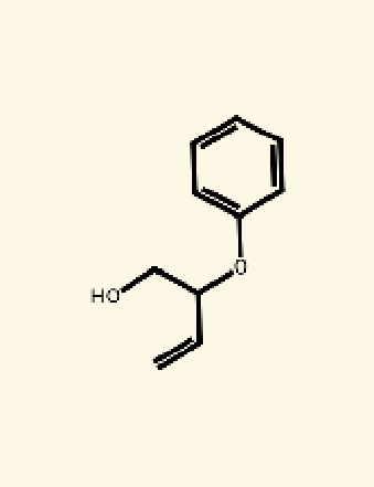 C=CC(CO)Oc1ccccc1